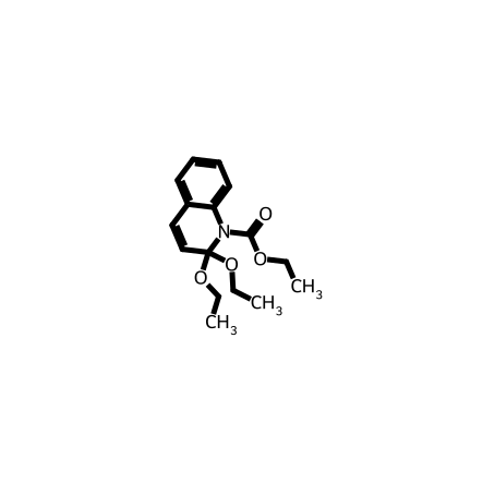 CCOC(=O)N1c2ccccc2C=CC1(OCC)OCC